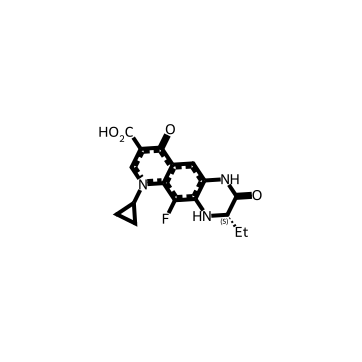 CC[C@@H]1Nc2c(cc3c(=O)c(C(=O)O)cn(C4CC4)c3c2F)NC1=O